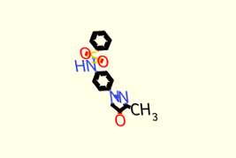 CC1=NN(c2ccc(NS(=O)(=O)c3ccccc3)cc2)CC1=O